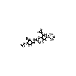 COCc1ccc(CNC(=O)Oc2c(C)cc(N3CCOCC3)nc2C2CC2)cc1F